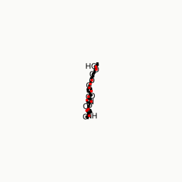 C=CC(O)OCCOCCOCCOc1ccc(C(=O)Oc2ccc(OC(=O)c3ccc(NC(C)=O)cc3)nc2)cc1